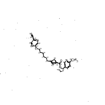 Cc1ccc(C2CC=NN2C(=O)C23CC(CCCCCCOc4cnc(C#N)cn4)(C2)C3)cn1